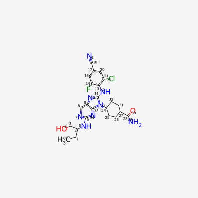 CCC(CO)Nc1ncc2nc(Nc3c(F)cc(C#N)cc3Cl)n(C3CCC(C(N)=O)CC3)c2n1